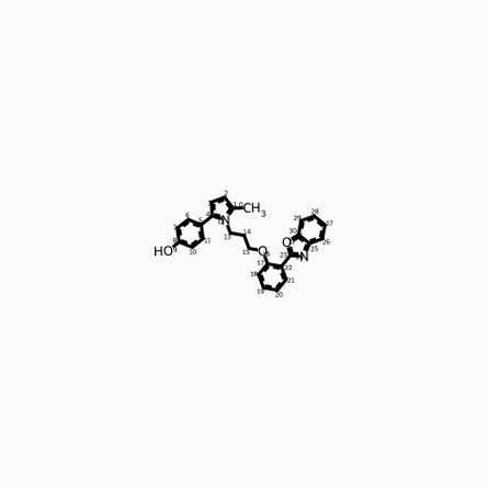 Cc1ccc(-c2ccc(O)cc2)n1CCCOc1ccccc1-c1nc2ccccc2o1